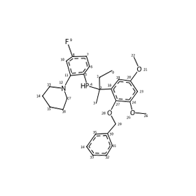 CCC(C)(Pc1ccc(F)cc1N1CCCCC1)c1cc(OC)cc(OC)c1OCc1ccccc1